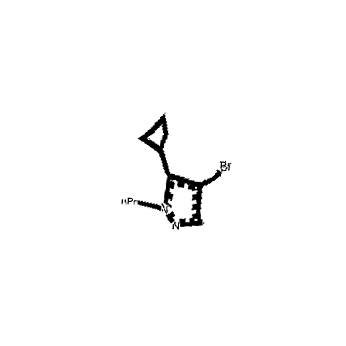 CCCn1n[c]c(Br)c1C1CC1